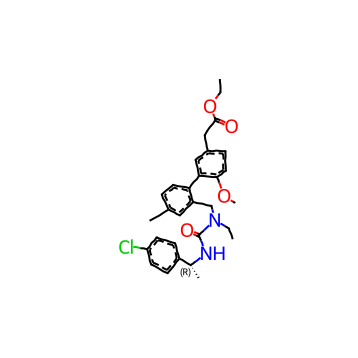 CCOC(=O)Cc1ccc(OC)c(-c2ccc(C)cc2CN(CC)C(=O)N[C@H](C)c2ccc(Cl)cc2)c1